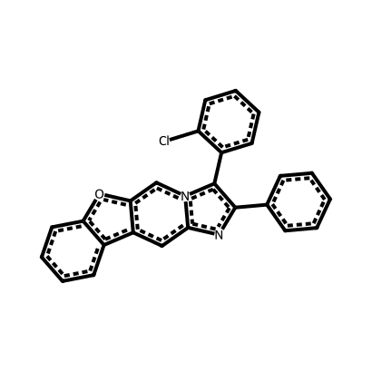 Clc1ccccc1-c1c(-c2ccccc2)nc2cc3c(cn12)oc1ccccc13